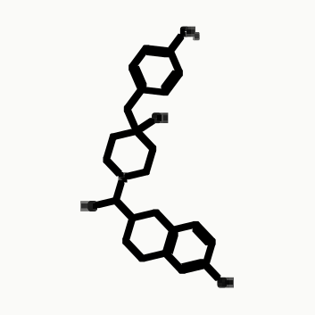 Cc1ccc(CC2(O)CCN(C(O)C3CCc4cc(O)ccc4C3)CC2)cc1